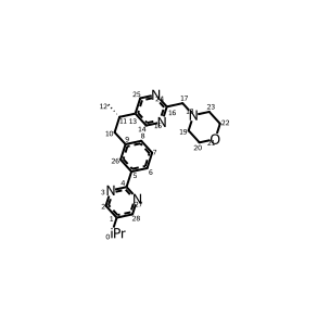 CC(C)c1cnc(-c2cccc(C[C@H](C)c3cnc(CN4CCOCC4)nc3)c2)nc1